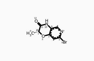 C[C@H]1Oc2cc(Br)ncc2NC1=O